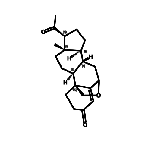 CC(=O)[C@H]1CC[C@H]2[C@@H]3CC4OC[C@@]5(CCC(=O)C=C45)[C@H]3CC[C@]12C